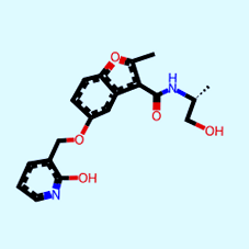 Cc1oc2ccc(OCc3cccnc3O)cc2c1C(=O)N[C@H](C)CO